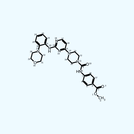 COC(=O)c1ccc(NC(=O)N2CCN(c3ccnc(Nc4ccccc4N4CCOCC4)n3)CC2)cc1